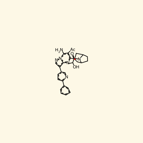 CC(=O)c1c(N2CC3CCC(C2)N3C(=O)C(C)O)nc2c(-c3ccc(-c4ccccc4)nc3)cnn2c1N